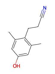 Cc1cc(O)cc(C)c1CCC#N